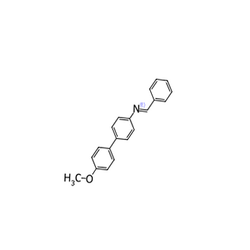 COc1ccc(-c2ccc(/N=C/c3ccccc3)cc2)cc1